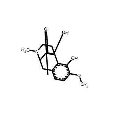 COc1ccc2c(c1O)C13CCN(C)C(C2)C1CC(=O)C(O)C3